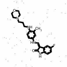 Cc1cc(NC=C2C(=O)Nc3ccc(F)cc32)ccc1NCCCN1CCOCC1